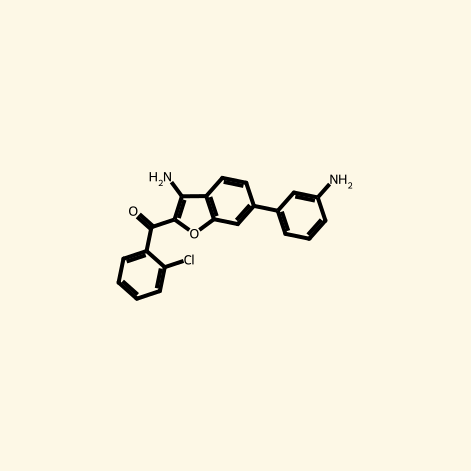 Nc1cccc(-c2ccc3c(N)c(C(=O)c4ccccc4Cl)oc3c2)c1